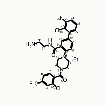 CC[C@@H]1CN(C(=O)c2ccc(C(F)(F)F)cc2Cl)CCN1c1ccc(-c2cccc(F)c2Cl)cc1C(=O)NCCN